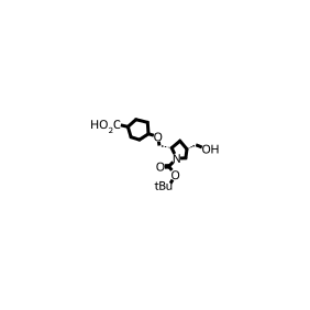 CC(C)(C)OC(=O)N1C[C@@H](CO)C[C@H]1COC1CCC(C(=O)O)CC1